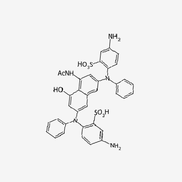 CC(=O)Nc1cc(N(c2ccccc2)c2ccc(N)cc2S(=O)(=O)O)cc2cc(N(c3ccccc3)c3ccc(N)cc3S(=O)(=O)O)cc(O)c12